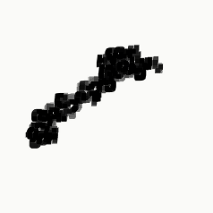 CCc1c2c(nc3ccc(OCc4c(F)cc(NC(=O)C(CCCNC(N)=O)NC(=O)C(NC(=O)O)C(C)C)cc4F)cc13)-c1cc3c(c(=O)n1C2)COC(=O)[C@]3(O)CC